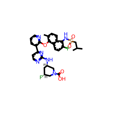 Cc1ccc2c(NS(=O)(=O)CC(C)C)c(F)ccc2c1Oc1ncccc1-c1ccnc(N[C@@H]2C[C@@H](F)CN(C(=O)O)C2)n1